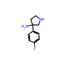 NC1(c2ccc(F)cc2)CCNC1